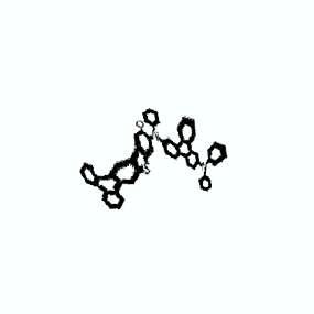 c1ccc(N(c2ccccc2)c2ccc3c4ccc(N5c6ccccc6Oc6cc7c(cc65)sc5cc6c8ccccc8c8ccccc8c6cc57)cc4c4ccccc4c3c2)cc1